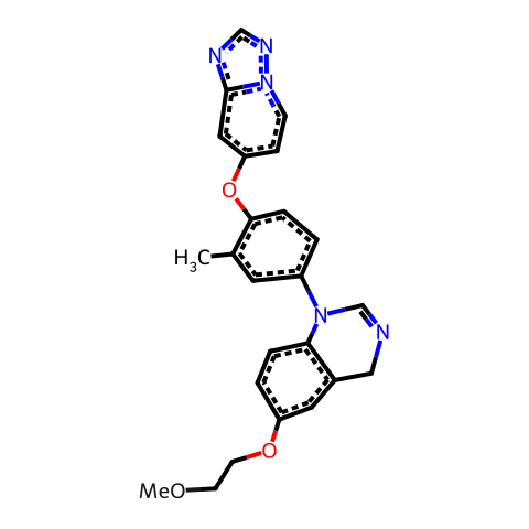 COCCOc1ccc2c(c1)CN=CN2c1ccc(Oc2ccn3ncnc3c2)c(C)c1